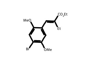 CCOC(=O)C(=Cc1cc(OC)c(Br)cc1OC)CC